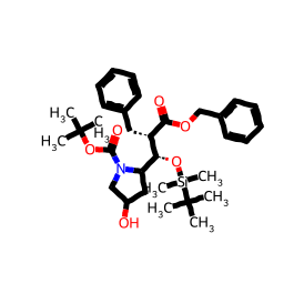 CC(C)(C)OC(=O)N1CC(O)CC1[C@@H](O[Si](C)(C)C(C)(C)C)[C@H](Cc1ccccc1)C(=O)OCc1ccccc1